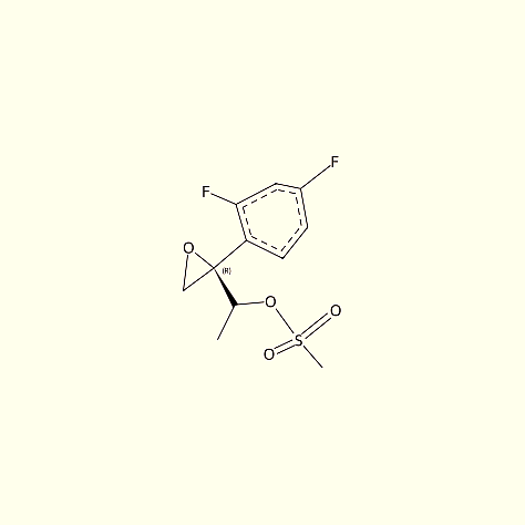 CC(OS(C)(=O)=O)[C@@]1(c2ccc(F)cc2F)CO1